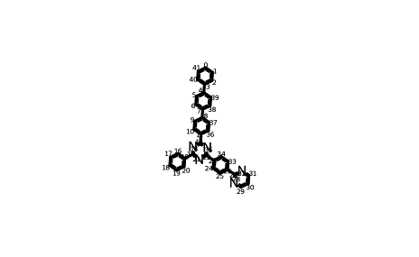 c1ccc(-c2ccc(-c3ccc(-c4nc(-c5ccccc5)nc(-c5ccc(-c6ncccn6)cc5)n4)cc3)cc2)cc1